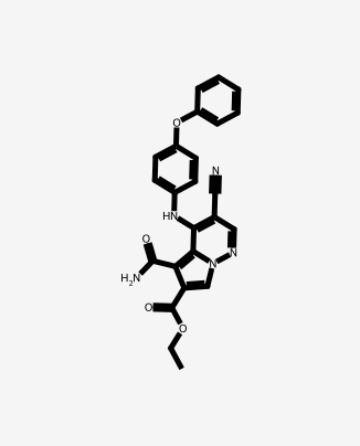 CCOC(=O)c1cn2ncc(C#N)c(Nc3ccc(Oc4ccccc4)cc3)c2c1C(N)=O